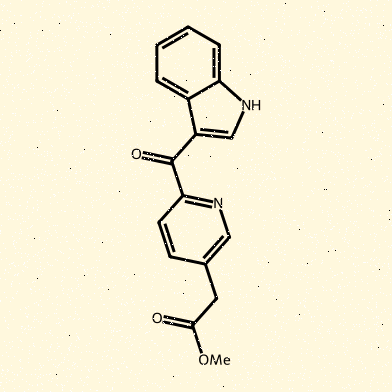 COC(=O)Cc1ccc(C(=O)c2c[nH]c3ccccc23)nc1